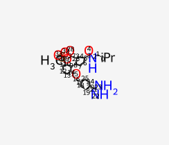 CC(C)CNC(=O)c1ccc(-c2ccccc2OCc2ccc(C(=N)N)cc2)c(C(=O)OS(C)(=O)=O)c1